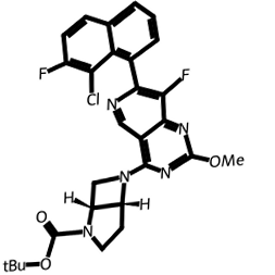 COc1nc(N2C[C@@H]3[C@H]2CCN3C(=O)OC(C)(C)C)c2cnc(-c3cccc4ccc(F)c(Cl)c34)c(F)c2n1